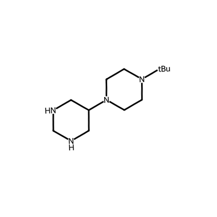 CC(C)(C)N1CCN(C2CNCNC2)CC1